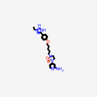 CCN1N=C(c2ccc(OCCCCCN3CCN(c4ccnc(N)c4)S3(=O)=O)cc2)NN1